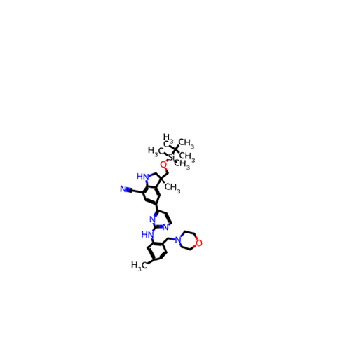 Cc1ccc(CN2CCOCC2)c(Nc2nccc(-c3cc(C#N)c4c(c3)[C@@](C)(CO[Si](C)(C)C(C)(C)C)CN4)n2)c1